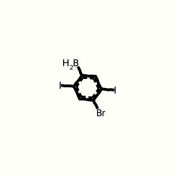 Bc1cc(I)c(Br)cc1I